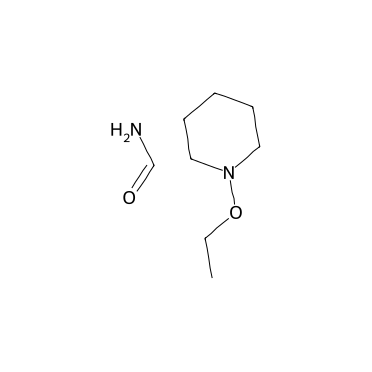 CCON1CCCCC1.NC=O